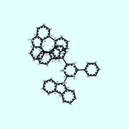 c1ccc(-c2nc(-c3cccc(-c4cccc5sc6cccc(-c7cccc8sc9ccccc9c78)c6c45)c3)nc(-n3c4ccccc4c4ccccc43)n2)cc1